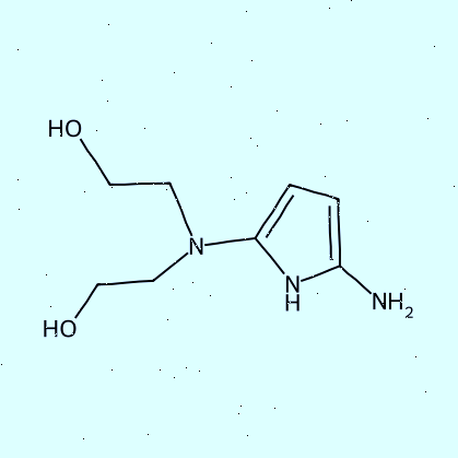 Nc1ccc(N(CCO)CCO)[nH]1